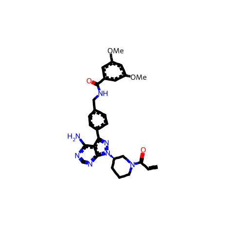 C=CC(=O)N1CCC[C@@H](n2nc(-c3ccc(CNC(=O)c4cc(OC)cc(OC)c4)cc3)c3c(N)ncnc32)C1